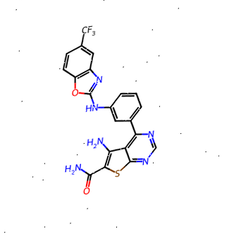 NC(=O)c1sc2ncnc(-c3cccc(Nc4nc5cc(C(F)(F)F)ccc5o4)c3)c2c1N